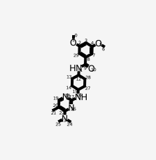 COc1cc(OC)cc(C(=O)NC2CCC(Nc3ncc(C)c(N(C)C)n3)CC2)c1